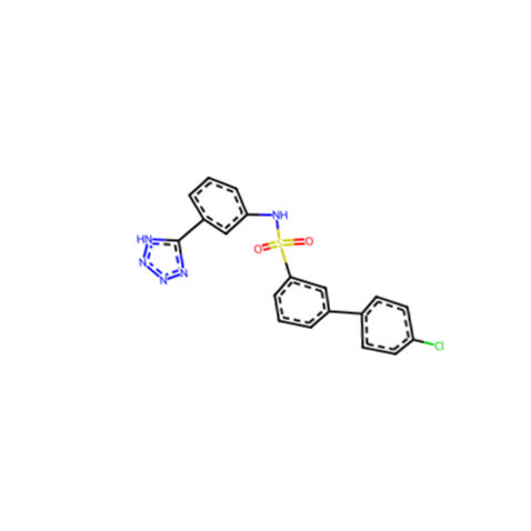 O=S(=O)(Nc1cccc(-c2nnn[nH]2)c1)c1cccc(-c2ccc(Cl)cc2)c1